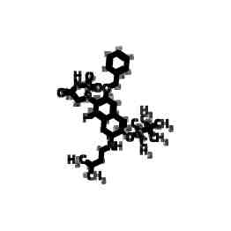 CC(C)CCN[C@H]1Cc2c(cc(OCc3ccccc3)c(N3CC(=O)NS3(=O)=O)c2F)C[C@@H]1O[Si](C)(C)C(C)(C)C